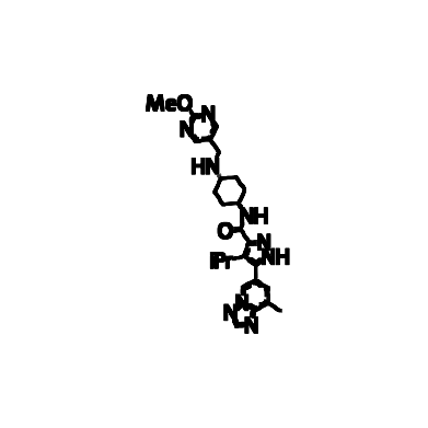 COc1ncc(CN[C@H]2CC[C@H](NC(=O)c3n[nH]c(-c4cc(C)c5ncnn5c4)c3C(C)C)CC2)cn1